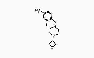 Nc1ccc(CN2CCN(C3COC3)CC2)c(F)c1